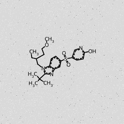 CCC(CCOC)Cn1c(C(C)(C)C)nc2cc(S(=O)(=O)c3ccc(O)nc3)ccc21